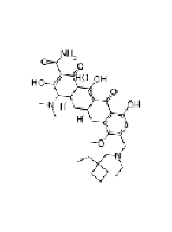 CCN(Cc1cc(O)c2c(c1OC)C[C@H]1C[C@H]3[C@H](N(C)C)C(O)=C(C(N)=O)C(=O)[C@@]3(O)C(O)=C1C2=O)CC1(CC)CCC1